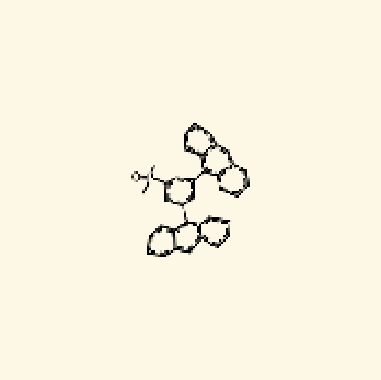 CP(C)(=O)c1cc(-c2c3ccccc3cc3ccccc23)cc(-c2c3ccccc3cc3ccccc23)c1